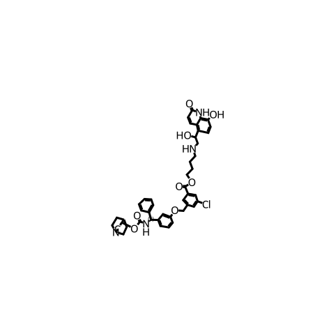 O=C(N[C@@H](c1ccccc1)c1cccc(OCc2cc(Cl)cc(C(=O)OCCCCNCC(O)c3ccc(O)c4[nH]c(=O)ccc34)c2)c1)OC1CN2CCC1CC2